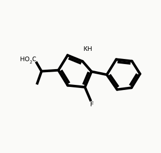 CC(C(=O)O)c1ccc(-c2ccccc2)c(F)c1.[KH]